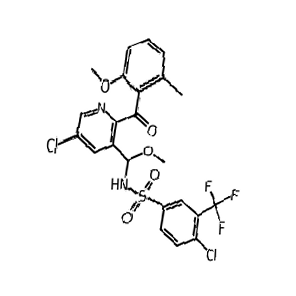 COc1cccc(C)c1C(=O)c1ncc(Cl)cc1C(NS(=O)(=O)c1ccc(Cl)c(C(F)(F)F)c1)OC